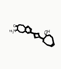 NC1CCc2cc(C3CC(=C4CCCCCCC4O)C3)ccc2CCC1=O